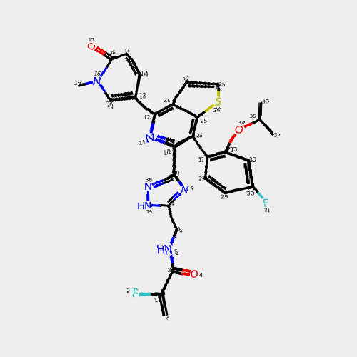 C=C(F)C(=O)NCc1nc(-c2nc(-c3ccc(=O)n(C)c3)c3ccsc3c2-c2ccc(F)cc2OC(C)C)n[nH]1